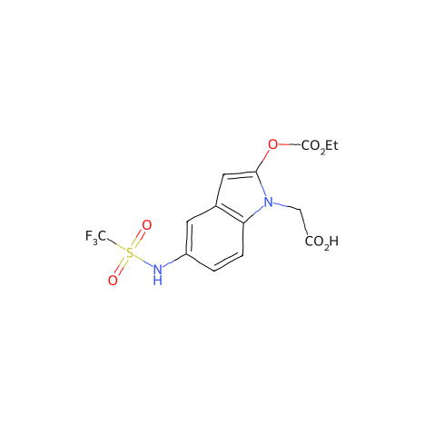 CCOC(=O)Oc1cc2cc(NS(=O)(=O)C(F)(F)F)ccc2n1CC(=O)O